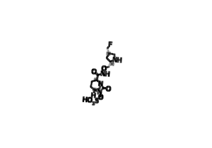 O=C(NOC[C@@H]1C[C@H](CF)CN1)[C@@H]1CC[C@@H]2CN1C(=O)N2OS(=O)(=O)O